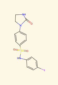 O=C1NCCN1c1ccc(S(=O)(=O)Nc2ccc(I)cc2)cc1